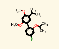 COc1cc(OC)c(C(C)C)cc1-c1ccc(F)cc1OC(C)C